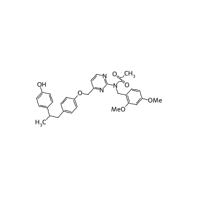 COc1ccc(CN(c2nccc(COc3ccc(CC(C)c4ccc(O)cc4)cc3)n2)S(C)(=O)=O)c(OC)c1